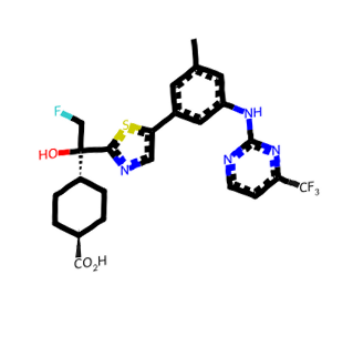 Cc1cc(Nc2nccc(C(F)(F)F)n2)cc(-c2cnc(C(O)(CF)[C@H]3CC[C@H](C(=O)O)CC3)s2)c1